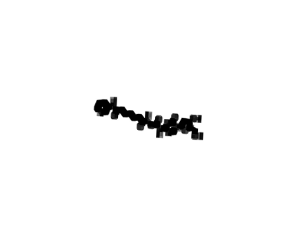 O=C(CCCCCC(=O)Nc1cccnc1)NOC(=O)Nc1ncn([C@H]2C[C@H](O)[C@@H](CO)O2)c(=O)n1